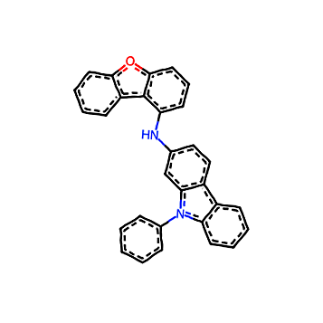 c1ccc(-n2c3ccccc3c3ccc(Nc4cccc5oc6ccccc6c45)cc32)cc1